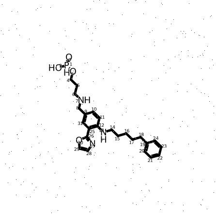 O=[PH](O)OCCCNCc1ccc(NCCCCCc2ccccc2)c(-c2ncco2)c1